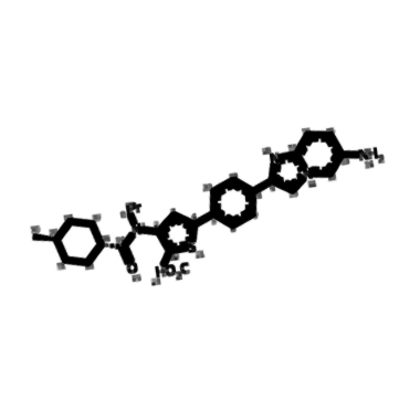 CC(C)N(c1cc(-c2ccc(-c3cn4cc(N)ccc4n3)cc2)sc1C(=O)O)C(=O)[C@H]1CC[C@H](C)CC1